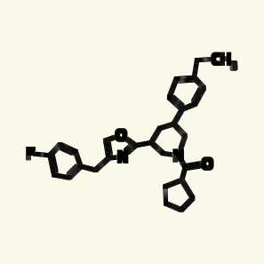 CCc1ccc(C2CC(c3nc(Cc4ccc(F)cc4)co3)CN(C(=O)C3CCCC3)C2)cc1